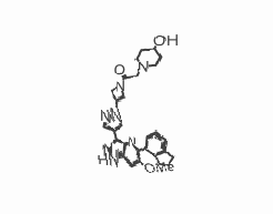 COc1cc2[nH]nc(-c3cnn(C4CN(C(=O)CN5CCC(O)CC5)C4)c3)c2nc1-c1cccc2c1CCC2